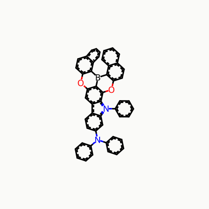 c1ccc(N(c2ccccc2)c2ccc3c4cc5c6c(c4n(-c4ccccc4)c3c2)Oc2ccc3ccccc3c2B6c2c(ccc3ccccc23)O5)cc1